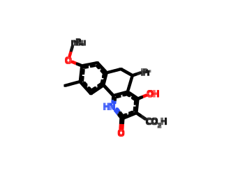 CCCCOc1cc2c(cc1C)-c1[nH]c(=O)c(C(=O)O)c(O)c1C(C(C)C)C2